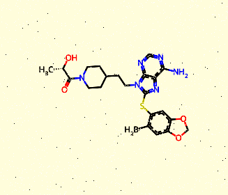 Bc1cc2c(cc1Sc1nc3c(N)ncnc3n1CCC1CCN(C(=O)[C@H](C)O)CC1)OCO2